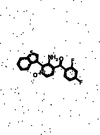 Nc1c(C(=O)c2ccc(F)cc2F)cc[n+]([O-])c1-c1csc2ccccc12